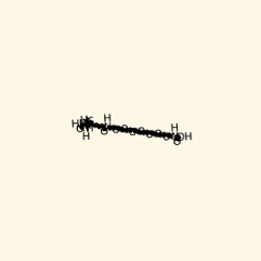 O=C(O)NCCOCCOCCOCCOCCOCCOCCOCCNC(=O)CCCC[C@@H]1SC[C@@H]2NC(=O)N[C@@H]21